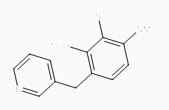 CNc1ccc(Cc2cccnc2)c(OC)c1[N+](=O)[O-]